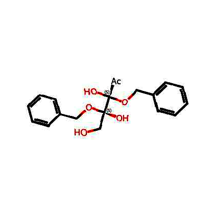 CC(=O)[C@@](O)(OCc1ccccc1)[C@](O)(CO)OCc1ccccc1